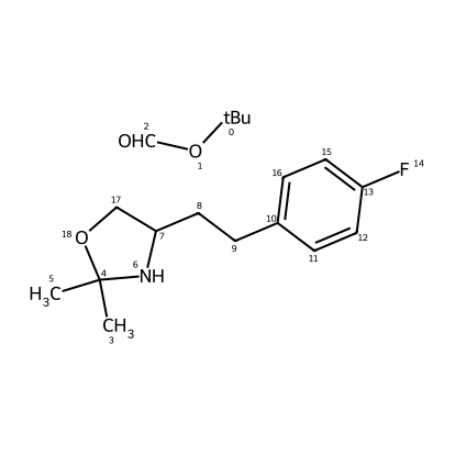 CC(C)(C)OC=O.CC1(C)NC(CCc2ccc(F)cc2)CO1